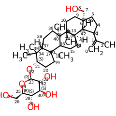 C=C(C)[C@@H]1CC[C@]2(CO)CC[C@]3(C)[C@H](CCC4[C@@]5(C)CC[C@H](O[C@@H]6O[C@H](CO)[C@@H](O)[C@H](O)[C@H]6O)C(C)(C)[C@@H]5CC[C@]43C)[C@@H]12